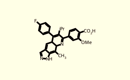 COc1cc(C2=NC3C(C)=c4[nH]ncc4=CC3C(c3ccc(F)cc3)=C2C(C)C)ccc1C(=O)O